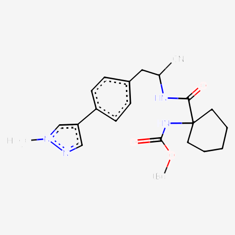 CC(C)(C)OC(=O)NC1(C(=O)NC(C#N)Cc2ccc(-c3cnn(C(=O)O)c3)cc2)CCCCC1